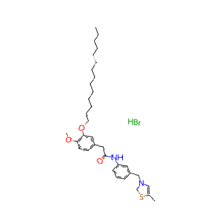 Br.CCCCCCCCCCCCCCOc1cc(CC(=O)Nc2cccc(CN3C=C(C)SC3)c2)ccc1OC